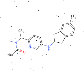 CN(C(=O)C(C)(C)C)C(c1ccc(NC2Cc3ccc(C(F)(F)F)cc3C2)cn1)C(F)(F)F